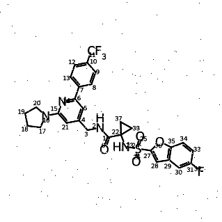 O=C(NCc1cc(-c2ccc(C(F)(F)F)cc2)nc(N2CCCC2)c1)C1(NS(=O)(=O)c2cc3cc(F)ccc3o2)CC1